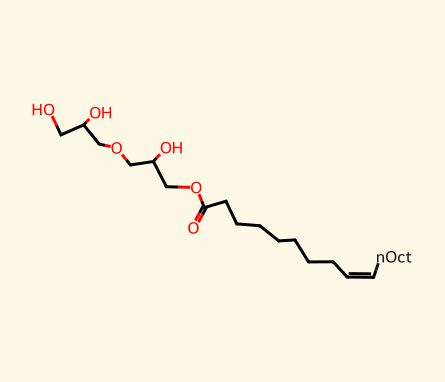 CCCCCCCC/C=C\CCCCCCCC(=O)OCC(O)COCC(O)CO